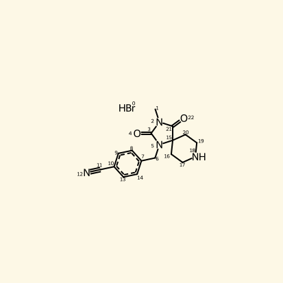 Br.CN1C(=O)N(Cc2ccc(C#N)cc2)C2(CCNCC2)C1=O